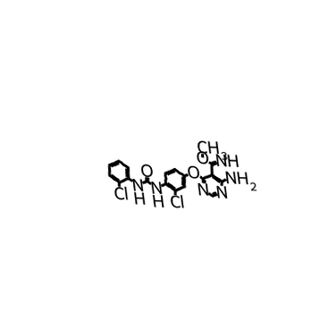 COC(=N)c1c(N)ncnc1Oc1ccc(NC(=O)Nc2ccccc2Cl)c(Cl)c1